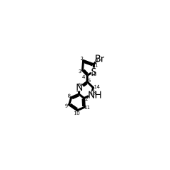 Brc1ccc(C2=Nc3ccccc3NC2)s1